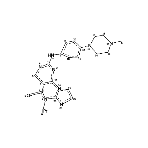 CC(C)n1c(=O)c2cnc(Nc3ccc(N4CCN(C)CC4)cc3)nc2n2ccnc12